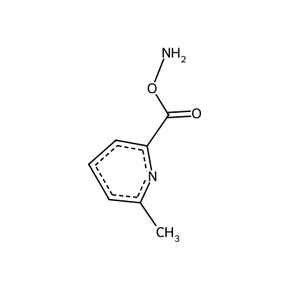 Cc1cccc(C(=O)ON)n1